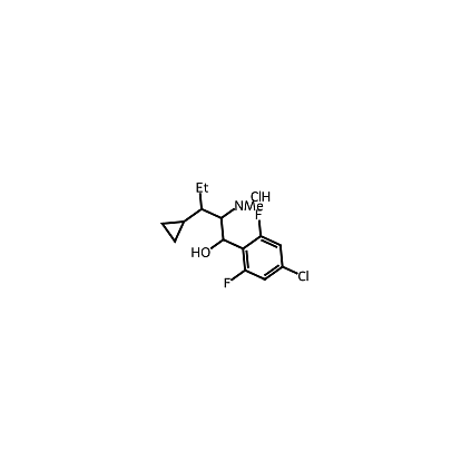 CCC(C1CC1)C(NC)C(O)c1c(F)cc(Cl)cc1F.Cl